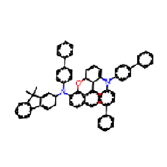 CC1(C)C2=CC(N(c3ccc(-c4ccccc4)cc3)c3ccc4cccc5c4c3OC3C=CC=C(N(c4ccc(-c6ccccc6)cc4)c4ccc(-c6ccccc6)cc4)C53)CC=C2c2ccccc21